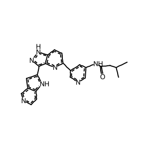 CC(C)CC(=O)Nc1cncc(-c2ccc3[nH]nc(-c4cc5cnccc5[nH]4)c3n2)c1